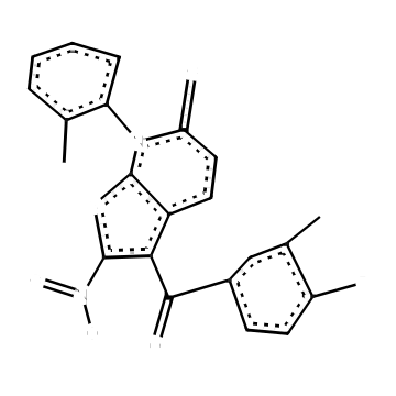 Cc1cc(C(=O)c2c([N+](=O)[O-])sc3c2ccc(=O)n3-c2ccccc2F)ccc1F